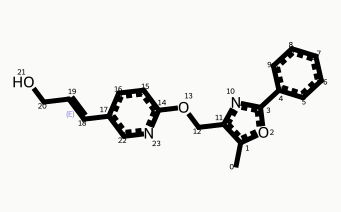 Cc1oc(-c2ccccc2)nc1COc1ccc(/C=C/CO)cn1